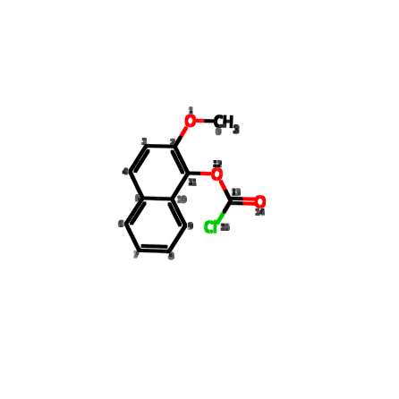 COc1ccc2ccccc2c1OC(=O)Cl